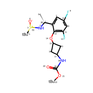 C[C@@H](N[S@+]([O-])C(C)(C)C)c1cc(F)cc(F)c1OC1CC(NC(=O)OC(C)(C)C)C1